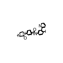 CN1CCN(c2ccc(C(=O)Nc3ccc(I)c(-c4ccccn4)c3)cc2)C(=O)C1